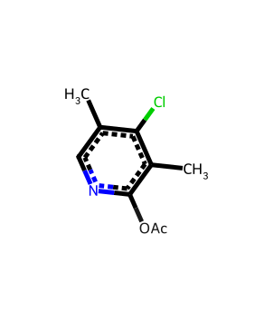 CC(=O)Oc1ncc(C)c(Cl)c1C